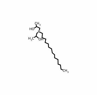 CCCCCCCCCCCCCCCN(CC(C)O)CC(C)O